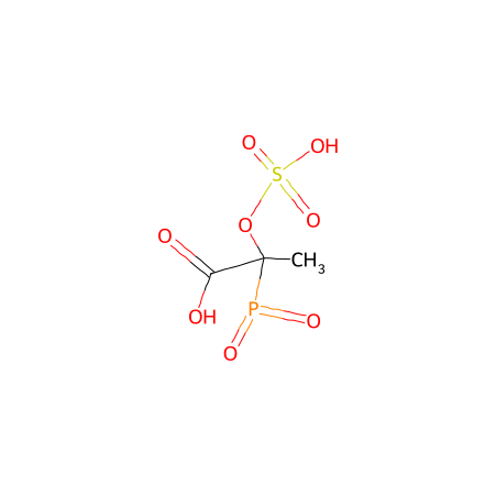 CC(OS(=O)(=O)O)(C(=O)O)P(=O)=O